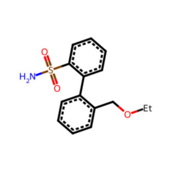 CCOCc1ccccc1-c1ccccc1S(N)(=O)=O